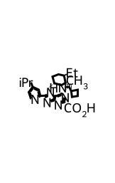 CC[C@H]1CC[C@H](Cn2c(-c3cc(C(C)C)ccn3)nc3nc(C(=O)O)nc(N[C@H](C)C4CCC4)c32)CC1